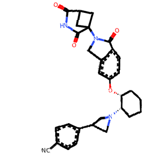 N#Cc1ccc(C2CN([C@H]3CCCC[C@H]3Oc3ccc4c(c3)CN(C35CC(C3)C(=O)NC5=O)C4=O)C2)cc1